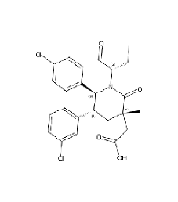 CC[C@@H](C=O)N1C(=O)[C@](C)(CC(=O)O)C[C@H](c2cccc(Cl)c2)[C@H]1c1ccc(Cl)cc1